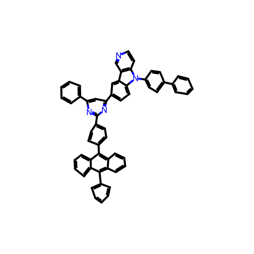 c1ccc(-c2ccc(-n3c4ccncc4c4cc(-c5cc(-c6ccccc6)nc(-c6ccc(-c7c8ccccc8c(-c8ccccc8)c8ccccc78)cc6)n5)ccc43)cc2)cc1